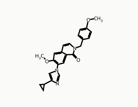 COc1ccc(Cn2ccc3cc(OC)c(-n4cnc(C5CC5)c4)cc3c2=O)cc1